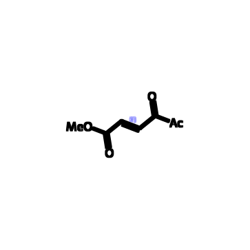 COC(=O)/C=C/C(=O)C(C)=O